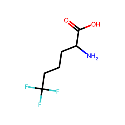 NC(CCCC(F)(F)F)C(=O)O